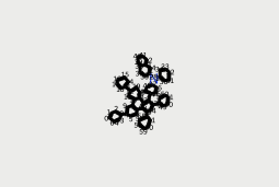 c1ccc(-c2ccc3c(c2)c2cc(-c4ccccc4)ccc2c2c(-c4ccc(N(c5ccccc5)c5ccc6ccccc6c5)cc4)c(-c4ccccc4)cc(-c4ccccc4)c32)cc1